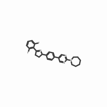 Fc1cccc(F)c1C1=NC(c2ccc(-c3cnc(N4CCCCCC4)nc3)cc2)CC1